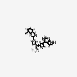 NCC(C1CCN(c2ncc3cccc(F)c3n2)C1)n1cc(-c2ncnc3[nH]ccc23)cn1